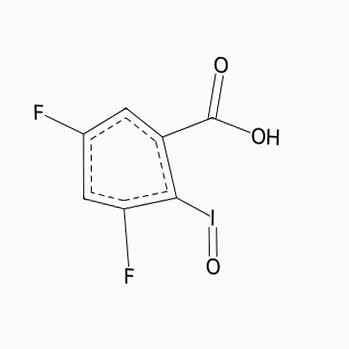 O=Ic1c(F)cc(F)cc1C(=O)O